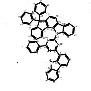 c1ccc(-c2nc(-c3cccc4c3oc3ccccc34)nc(-n3c4ccccc4c4ccc5c(c43)-c3ccccc3C5(c3ccccc3)c3ccccc3)n2)cc1